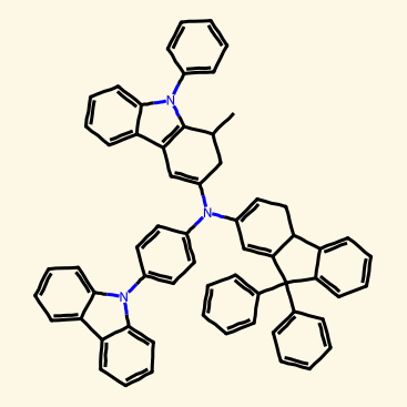 CC1CC(N(C2=CCC3C(=C2)C(c2ccccc2)(c2ccccc2)c2ccccc23)c2ccc(-n3c4ccccc4c4ccccc43)cc2)=Cc2c1n(-c1ccccc1)c1ccccc21